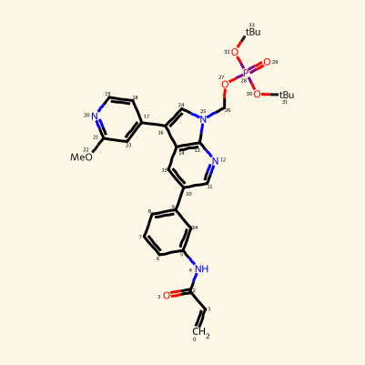 C=CC(=O)Nc1cccc(-c2cnc3c(c2)c(-c2ccnc(OC)c2)cn3COP(=O)(OC(C)(C)C)OC(C)(C)C)c1